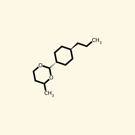 CCC[C@H]1CC[C@H](C2OCCC(C)O2)CC1